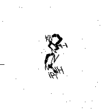 CC(C)Nc1nccc(N2C[C@H]3CCCN[C@H]3C2)n1